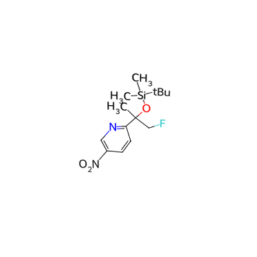 CC(CF)(O[Si](C)(C)C(C)(C)C)c1ccc([N+](=O)[O-])cn1